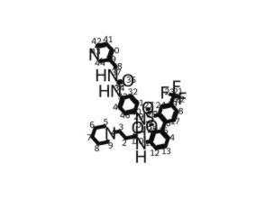 O=C(CCN1CCCCC1)Nc1cccc(-c2ccc(C(F)(F)F)cc2S(=O)(=O)Nc2ccc(NC(=O)NCc3cccnc3)cc2)c1